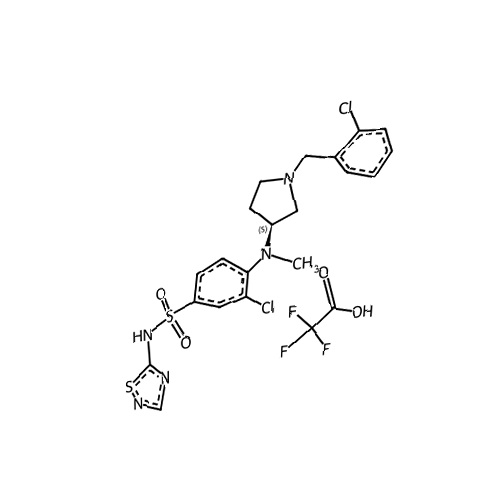 CN(c1ccc(S(=O)(=O)Nc2ncns2)cc1Cl)[C@H]1CCN(Cc2ccccc2Cl)C1.O=C(O)C(F)(F)F